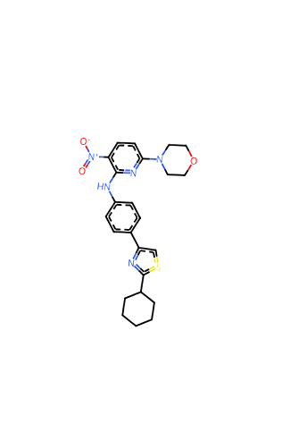 O=[N+]([O-])c1ccc(N2CCOCC2)nc1Nc1ccc(-c2csc(C3CCCCC3)n2)cc1